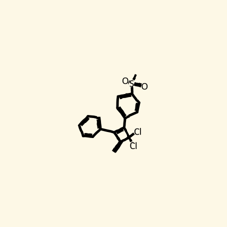 C=C1C(c2ccccc2)=C(c2ccc(S(C)(=O)=O)cc2)C1(Cl)Cl